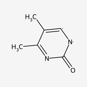 CC1=[C][N]C(=O)N=C1C